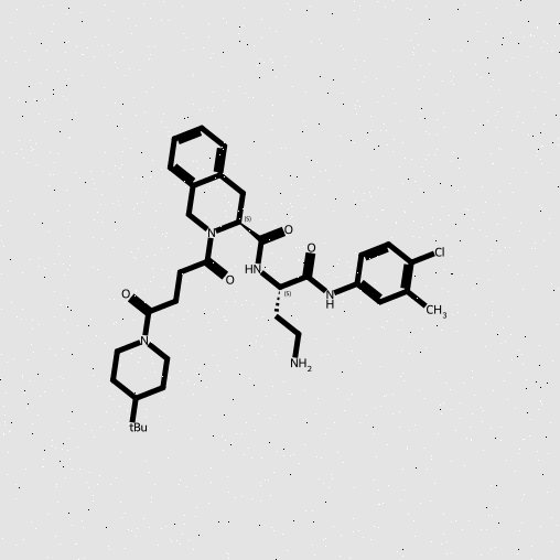 Cc1cc(NC(=O)[C@H](CCN)NC(=O)[C@@H]2Cc3ccccc3CN2C(=O)CCC(=O)N2CCC(C(C)(C)C)CC2)ccc1Cl